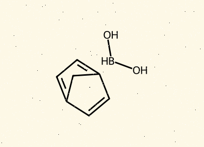 C1=CC2=CC=C1C2.OBO